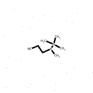 CN(CCC#N)[Si](C)(C)C